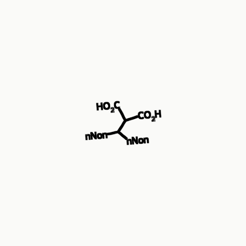 CCCCCCCCCC(CCCCCCCCC)C(C(=O)O)C(=O)O